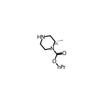 CCCOC(=O)N1CCNC[C@@H]1C